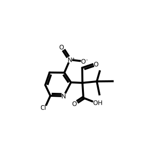 CC(C)(C)C(C=O)(C(=O)O)c1nc(Cl)ccc1[N+](=O)[O-]